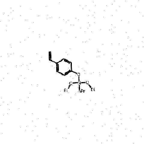 C=Cc1ccc(O[Si](CCC)(OCC)OCC)cc1